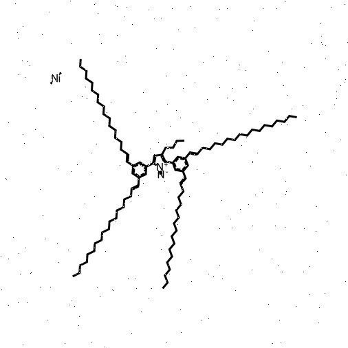 CCCCCCCCCCCCCCCCC=Cc1cc(C=CCCCCCCCCCCCCCCCC)cc(C2=CC(CCCC)=C(c3cc(C=CCCCCCCCCCCCCCCCC)cc(C=CCCCCCCCCCCCCCCCC)c3)[N+]2=[N-])c1.[CH3][Ni][CH3]